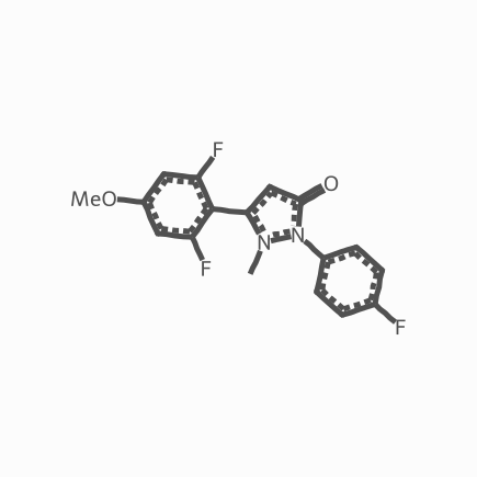 COc1cc(F)c(-c2cc(=O)n(-c3ccc(F)cc3)n2C)c(F)c1